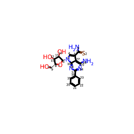 NC(=S)c1cn([C@@H]2O[C@H](CO)[C@@H](O)[C@H]2O)c2nc(-c3ccccc3)nc(N)c12